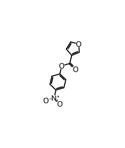 O=C(Oc1ccc([N+](=O)[O-])cc1)c1ccoc1